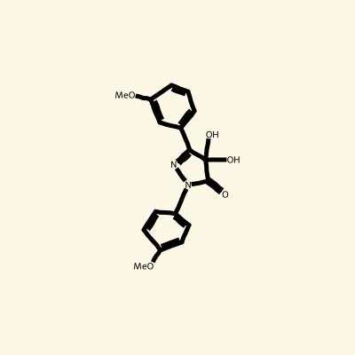 COc1ccc(N2N=C(c3cccc(OC)c3)C(O)(O)C2=O)cc1